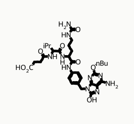 CCCCOc1nc(N)c2nc(O)n(Cc3ccc(NC(=O)C(CCCNC(N)=O)NC(=O)C(NC(=O)CCC(=O)O)C(C)C)cc3)c2n1